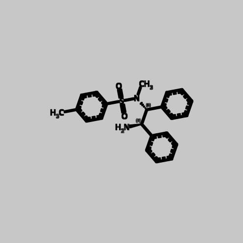 Cc1ccc(S(=O)(=O)N(C)[C@H](c2ccccc2)[C@H](N)c2ccccc2)cc1